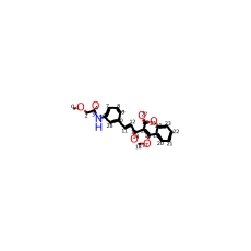 COCC(=O)Nc1cccc(/C=C/C(=O)c2c(OC)c3ccccc3oc2=O)c1